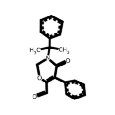 CC(C)(c1ccccc1)N1COC(C=O)=C(c2ccccc2)C1=O